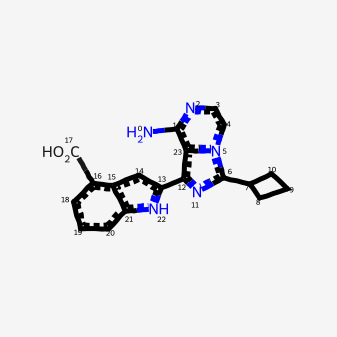 Nc1nccn2c(C3CCC3)nc(-c3cc4c(C(=O)O)cccc4[nH]3)c12